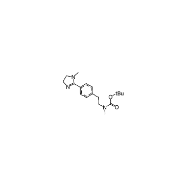 CN(CCc1ccc(C2=NCCN2C)cc1)C(=O)OC(C)(C)C